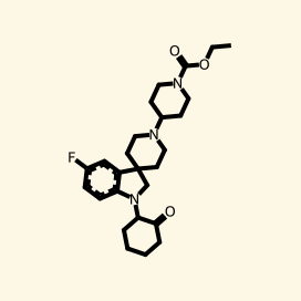 CCOC(=O)N1CCC(N2CCC3(CC2)CN(C2CCCCC2=O)c2ccc(F)cc23)CC1